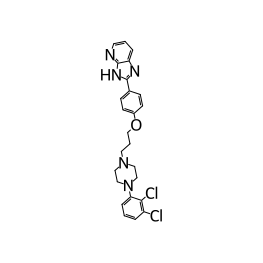 Clc1cccc(N2CCN(CCCOc3ccc(-c4nc5cccnc5[nH]4)cc3)CC2)c1Cl